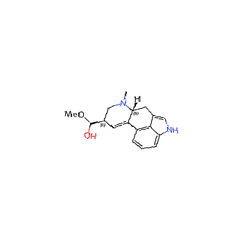 COC(O)[C@@H]1C=C2c3cccc4[nH]cc(c34)C[C@H]2N(C)C1